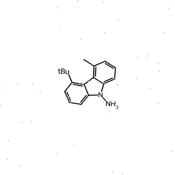 Cc1cccc2c1c1c(C(C)(C)C)cccc1n2N